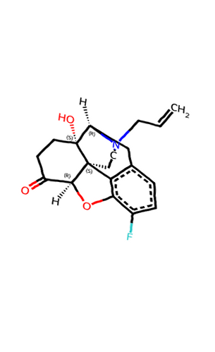 C=CCN1CC[C@]23c4c5ccc(F)c4O[C@H]2C(=O)CC[C@@]3(O)[C@H]1C5